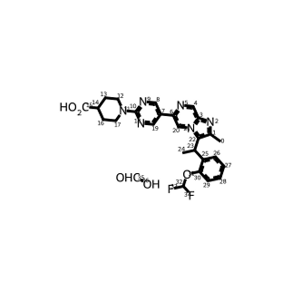 Cc1nc2cnc(-c3cnc(N4CCC(C(=O)O)CC4)nc3)cn2c1C(C)c1ccccc1OC(F)F.O=CO